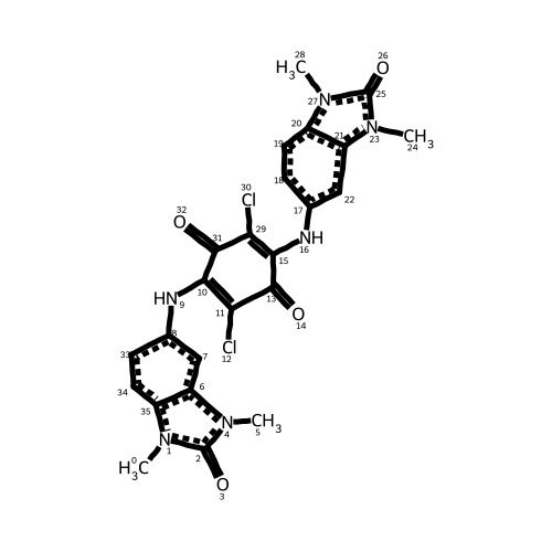 Cn1c(=O)n(C)c2cc(NC3=C(Cl)C(=O)C(Nc4ccc5c(c4)n(C)c(=O)n5C)=C(Cl)C3=O)ccc21